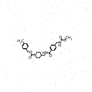 COC(=O)NCc1ccc(C(=O)NCC2CCN(C(=O)OCc3ccc(C)cc3)CC2)cc1